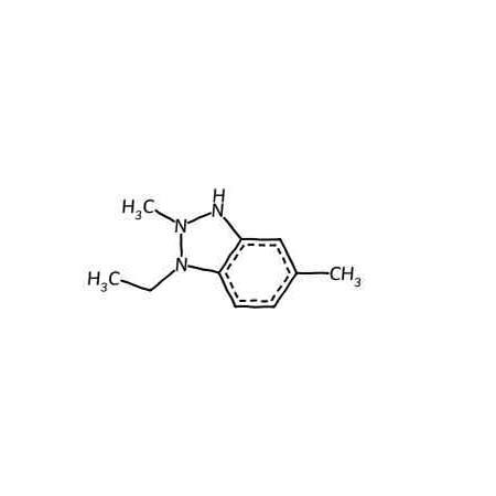 CCN1c2ccc(C)cc2NN1C